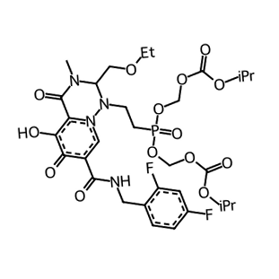 CCOCC1N(C)C(=O)c2c(O)c(=O)c(C(=O)NCc3ccc(F)cc3F)cn2N1CCP(=O)(OCOC(=O)OC(C)C)OCOC(=O)OC(C)C